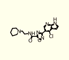 O=C(NCCN1CCCCC1)c1nc(-c2cnc3[nH]ccc3c2Cl)no1